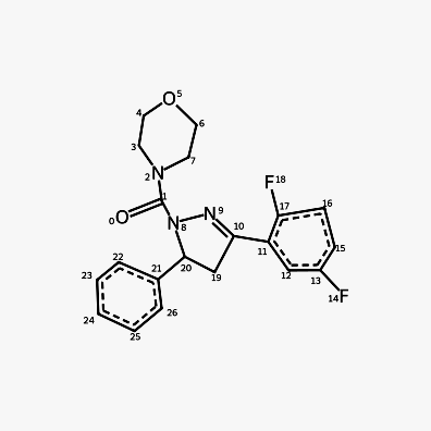 O=C(N1CCOCC1)N1N=C(c2cc(F)ccc2F)CC1c1ccccc1